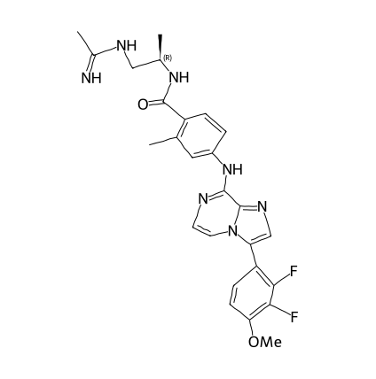 COc1ccc(-c2cnc3c(Nc4ccc(C(=O)N[C@H](C)CNC(C)=N)c(C)c4)nccn23)c(F)c1F